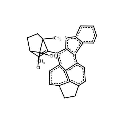 CC12CCC(C(Cl)=C1n1c3ccc4c5c(ccc(c53)n3c5ccccc5nc13)CC4)C2(C)C